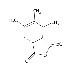 CC1=C(C)C(C)C2C(=O)OC(=O)C2C1